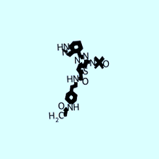 C=CC(=O)Nc1ccc(CCNC(=O)c2cc3nc(-c4cccc5[nH]ncc45)nc(N4CC5(COC5)C4)c3s2)cc1